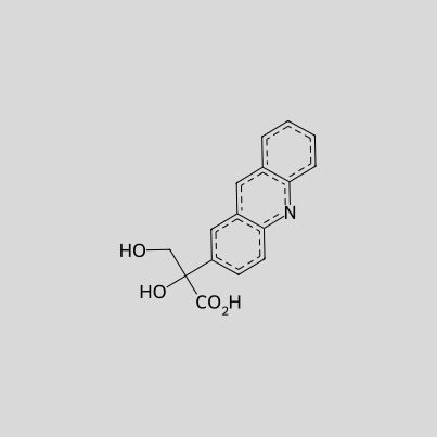 O=C(O)C(O)(CO)c1ccc2nc3ccccc3cc2c1